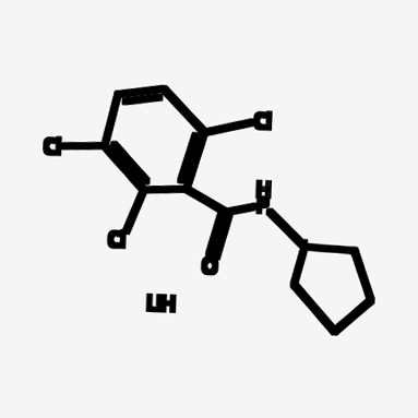 O=C(P[C]1CCCC1)c1c(Cl)ccc(Cl)c1Cl.[LiH]